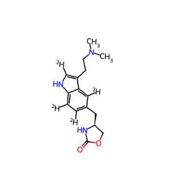 [2H]c1[nH]c2c([2H])c([2H])c(C[C@H]3COC(=O)N3)c([2H])c2c1CCN(C)C